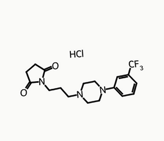 Cl.O=C1CCC(=O)N1CCCN1CCN(c2cccc(C(F)(F)F)c2)CC1